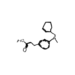 CN(CC1CCCCC1)c1ccc(CCC(=O)O)cc1